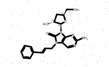 CC(=O)OC[C@@H]1C[C@@H](OC(C)=O)[C@H](n2c(=O)n(C/C=C/c3ccccc3)c3cnc(N)nc32)O1